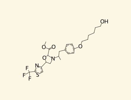 COC(=O)C1OC(c2csc(C(F)(F)F)n2)CN1C(C)Cc1ccc(OCCCCCCO)cc1